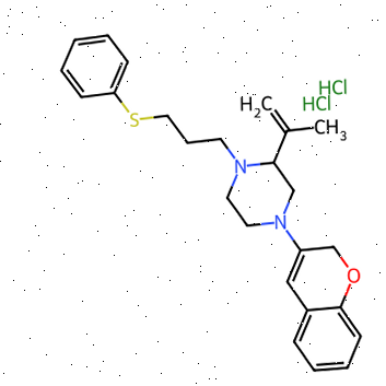 C=C(C)C1CN(C2=Cc3ccccc3OC2)CCN1CCCSc1ccccc1.Cl.Cl